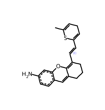 CC1=CCC=C(/C=C/C2=C3Oc4cc(N)ccc4C=C3CCC2)S1